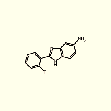 Nc1ccc2[nH]c(-c3ccccc3F)nc2c1